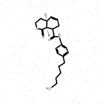 CCCCCCc1ccc(NC(=O)C2CC=C[C@@H]3CCOC(=O)[C@H]23)cc1